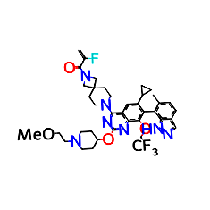 C=C(F)C(=O)N1CC2(CCN(c3nc(OC4CCN(CCOC)CC4)nc4c(OCC(F)(F)F)c(-c5c(C)ccc6cn[nH]c56)c(C5CC5)cc34)CC2)C1